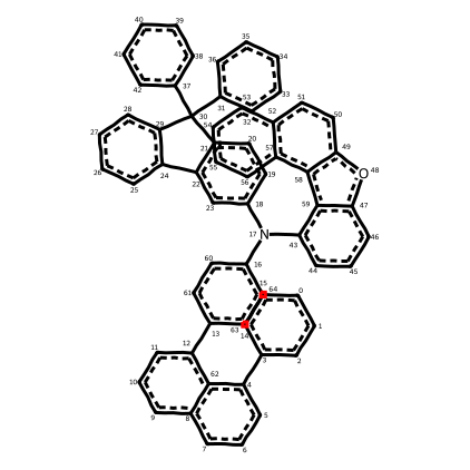 c1ccc(-c2cccc3cccc(-c4ccc(N(c5ccc6c(c5)-c5ccccc5C6(c5ccccc5)c5ccccc5)c5cccc6oc7ccc8ccccc8c7c56)cc4)c23)cc1